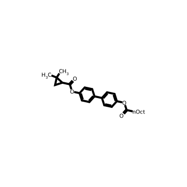 CCCCCCCCC(=O)Oc1ccc(-c2ccc(OC(=O)C3CC3(C)C)cc2)cc1